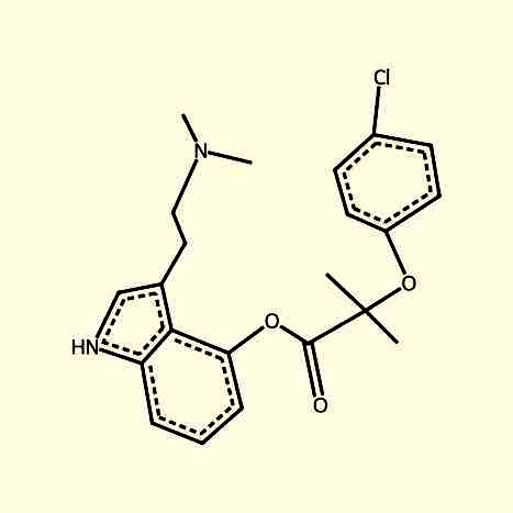 CN(C)CCc1c[nH]c2cccc(OC(=O)C(C)(C)Oc3ccc(Cl)cc3)c12